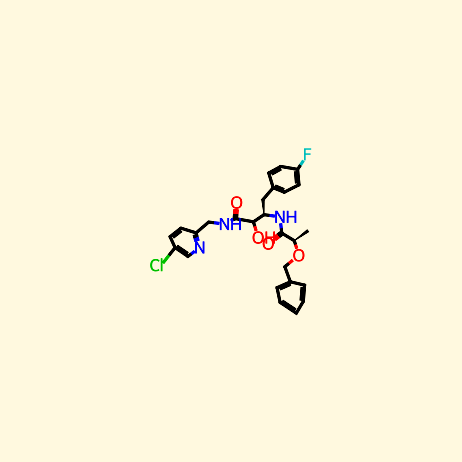 C[C@@H](OCc1ccccc1)C(=O)N[C@H](Cc1ccc(F)cc1)C(O)C(=O)NCc1ccc(Cl)cn1